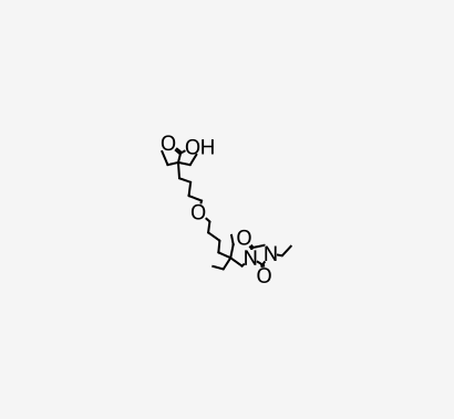 CCN1CC(=O)N(CC(CC)(CC)CCCCOCCCCC(CC)(CC)C(=O)O)C1=O